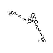 Cc1cc(C)c(C(=O)P(=O)(C(=O)c2c(C)cc(C)c(CCOCCOCCCSC(CO)CO)c2C)c2ccccc2)c(C)c1CCOCCOCCCSC(CO)CO